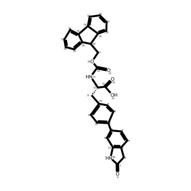 O=C1Cc2ccc(-c3ccc(C[C@H](NC(=O)OCC4c5ccccc5-c5ccccc54)C(=O)O)cc3)cc2N1